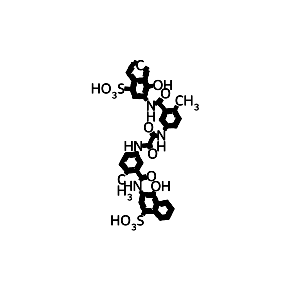 Cc1ccc(NC(=O)C(=O)Nc2ccc(C)c(C(=O)Nc3cc(S(=O)(=O)O)c4ccccc4c3O)c2)cc1C(=O)Nc1cc(S(=O)(=O)O)c2ccccc2c1O